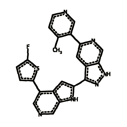 Cc1ccncc1-c1cc2c(-c3cc4c(-c5ccc(F)s5)cncc4[nH]3)n[nH]c2cn1